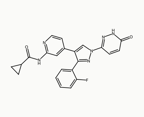 O=C(Nc1cc(-c2cn(-c3ccc(=O)[nH]n3)nc2-c2ccccc2F)ccn1)C1CC1